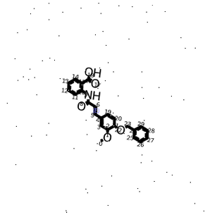 COC1C=C(/C=C/C(=O)Nc2ccccc2C(=O)O)C=CC1OCc1ccccc1